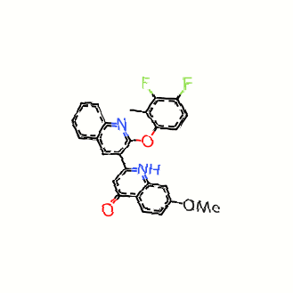 COc1ccc2c(=O)cc(-c3cc4ccccc4nc3Oc3ccc(F)c(F)c3C)[nH]c2c1